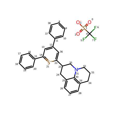 O=S(=O)([O-])C(F)(F)F.c1ccc(-c2cc(-c3ccccc3)[s+]c(C3Cc4cccc5c4N(CCC5)C3)c2)cc1